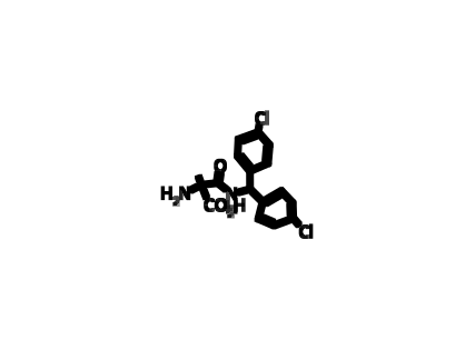 CC(N)(C(=O)O)C(=O)NC(c1ccc(Cl)cc1)c1ccc(Cl)cc1